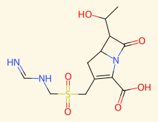 CC(O)C1C(=O)N2C(C(=O)O)=C(CS(=O)(=O)CNC=N)CC12